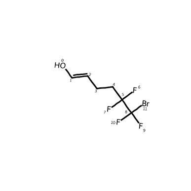 OC=CCCC(F)(F)C(F)(F)Br